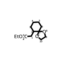 CCOC(=O)CC1CCCCC12OCCO2